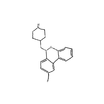 Fc1ccc2c(c1)-c1ccccc1SN2CC1CCNCC1